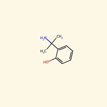 CC(C)(N)c1ccccc1O